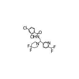 O=C(NCC(c1ccc(C(F)F)nc1)N1CCC(F)(F)CC1)c1ccc(Cl)cc1Cl